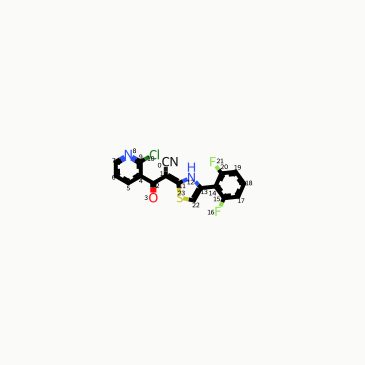 N#CC(C(=O)c1cccnc1Cl)=C1NC(c2c(F)cccc2F)=CS1